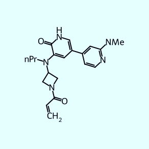 C=CC(=O)N1CC(N(CCC)c2cc(-c3ccnc(NC)c3)c[nH]c2=O)C1